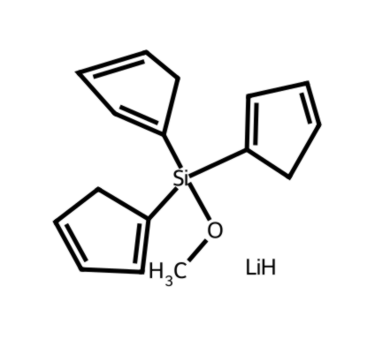 CO[Si](C1=CC=CC1)(C1=CC=CC1)C1=CC=CC1.[LiH]